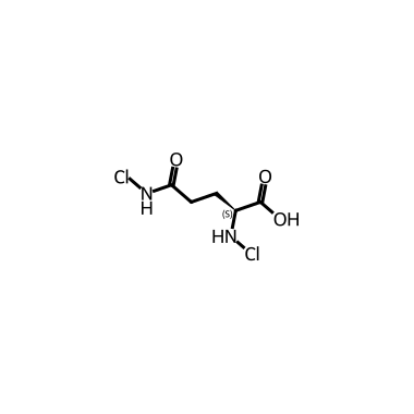 O=C(CC[C@H](NCl)C(=O)O)NCl